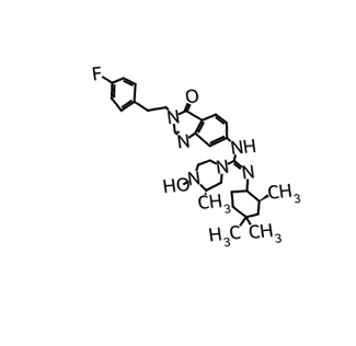 C[C@H]1CC(C)(C)CCC1/N=C(/Nc1ccc2c(=O)n(CCc3ccc(F)cc3)cnc2c1)N1CCN(O)[C@@H](C)C1